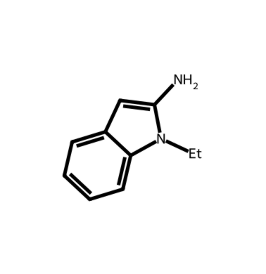 CCn1c(N)cc2ccccc21